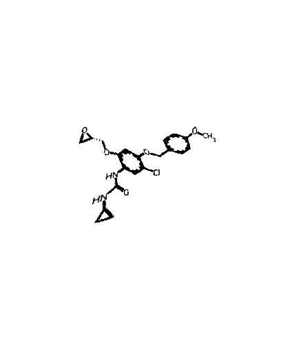 COc1ccc(COc2cc(OC[C@@H]3CO3)c(NC(=O)NC3CC3)cc2Cl)cc1